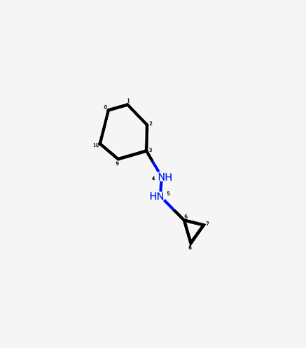 C1CCC(NNC2CC2)CC1